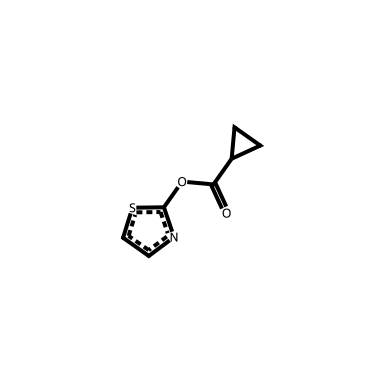 O=C(Oc1nccs1)C1CC1